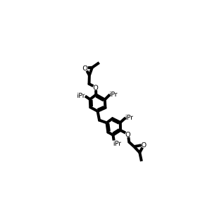 CC(C)c1cc(Cc2cc(C(C)C)c(OCC3OC3C)c(C(C)C)c2)cc(C(C)C)c1OCC1OC1C